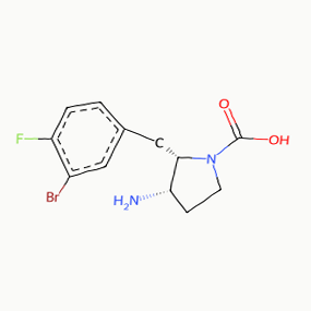 N[C@H]1CCN(C(=O)O)[C@H]1Cc1ccc(F)c(Br)c1